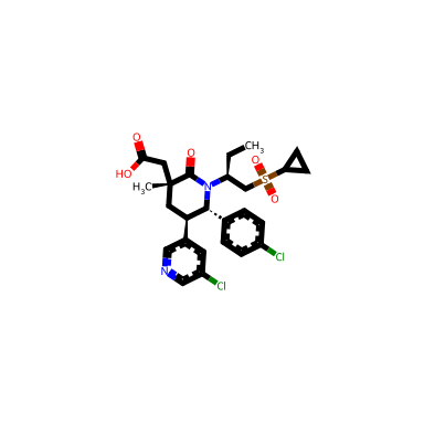 CC[C@@H](CS(=O)(=O)C1CC1)N1C(=O)[C@@](C)(CC(=O)O)C[C@H](c2cncc(Cl)c2)[C@H]1c1ccc(Cl)cc1